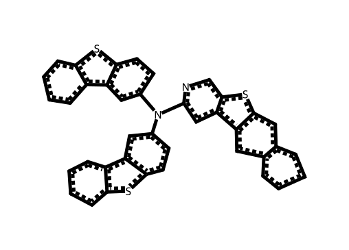 c1ccc2cc3c(cc2c1)sc1cnc(N(c2ccc4sc5ccccc5c4c2)c2ccc4sc5ccccc5c4c2)cc13